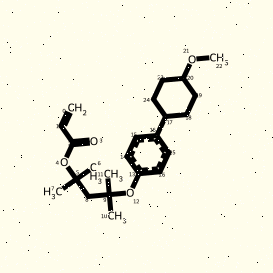 C=CC(=O)OC(C)(C)CC(C)(C)Oc1ccc(C2CCC(OC)CC2)cc1